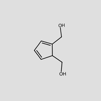 OCC1=CC=CC1CO